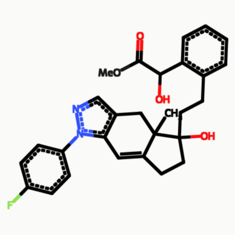 COC(=O)C(O)c1ccccc1CCC1(O)CCC2=Cc3c(cnn3-c3ccc(F)cc3)CC21C